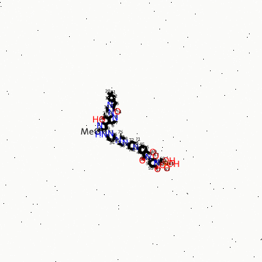 COc1ncc(-c2ccnc(N3CCn4c(cc5c4CC(C)(C)C5)C3=O)c2[C@H](C)O)cc1Nc1ccc(N2CCN(C3CCN(c4ccc5c(c4)C(=O)N([C@H]4CCC(=O)N(C(C)OP(=O)(O)O)C4=O)C5=O)[C@@H](C)C3)C[C@@H]2C)cn1